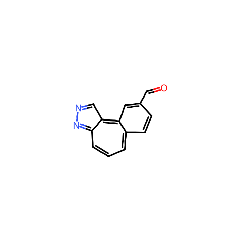 O=Cc1ccc2cccc3nncc-3c2c1